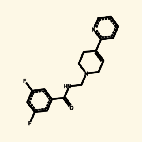 O=C(NCN1CC=C(c2ccccn2)CC1)c1cc(F)cc(F)c1